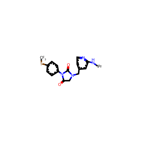 CC(C)Nc1cc(CN2CC(=O)N(c3ccc(SC(F)(F)F)cc3)C2=O)ccn1